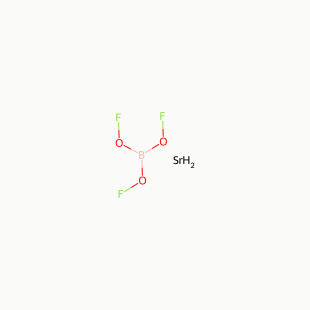 FOB(OF)OF.[SrH2]